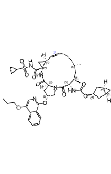 CCCOc1cnc(O[C@@H]2C[C@H]3C(=O)N[C@]4(C(=O)NS(=O)(=O)C5CC5)C[C@H]4/C=C\CC[C@H](C)C[C@@H](C)[C@H](NC(=O)O[C@@H]4C[C@@H]5C[C@@H]5C4)C(=O)N3C2)c2ccccc12